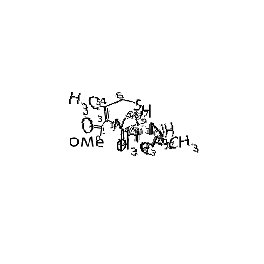 COC(=O)C1=C(C)CS[C@H]2[C@H](N[PH2](C)C)C(=O)N12